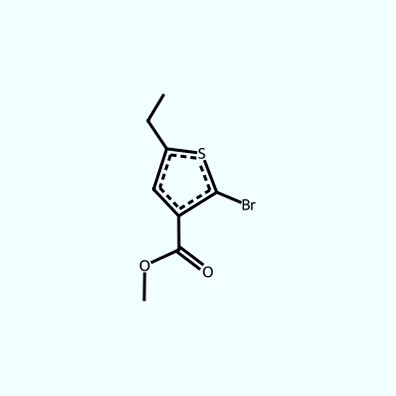 CCc1cc(C(=O)OC)c(Br)s1